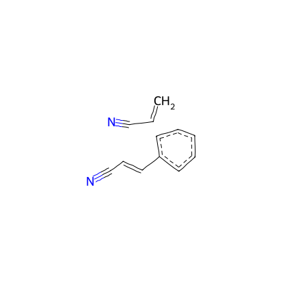 C=CC#N.N#CC=Cc1ccccc1